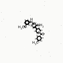 COc1cccc(Nc2ncc(C3CCN(C(=O)[C@H]4CC[C@H](C)CC4)CC3)c(N)n2)c1